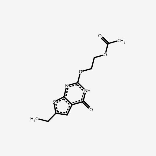 CCc1cc2c(=O)[nH]c(OCCOC(C)=O)nc2s1